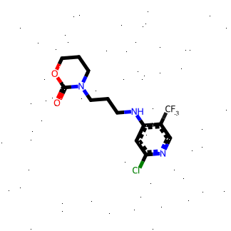 O=C1OCCCN1CCCNc1cc(Cl)ncc1C(F)(F)F